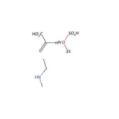 C=C(CCC)C(=O)O.CCNC.CCOS(=O)(=O)O